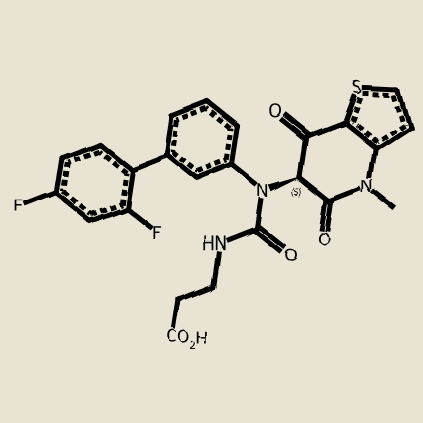 CN1C(=O)[C@@H](N(C(=O)NCCC(=O)O)c2cccc(-c3ccc(F)cc3F)c2)C(=O)c2sccc21